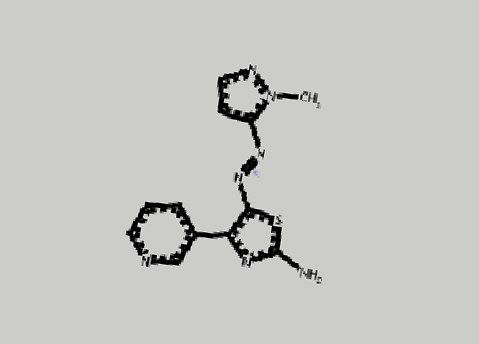 Cn1nccc1/N=N/c1sc(N)nc1-c1cccnc1